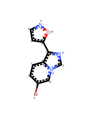 Brc1ccc2c(-c3ccno3)ncn2c1